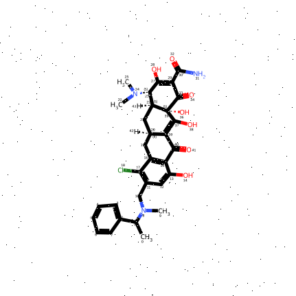 CC(c1ccccc1)N(C)Cc1cc(O)c2c(c1Cl)C[C@H]1C[C@H]3[C@H](N(C)C)C(O)=C(C(N)=O)C(=O)[C@@]3(O)C(O)=C1C2=O